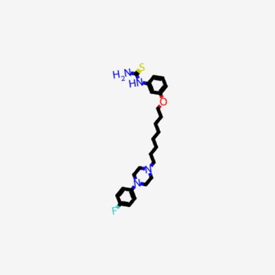 NC(=S)Nc1cccc(OCCCCCCCCN2CCN(c3ccc(F)cc3)CC2)c1